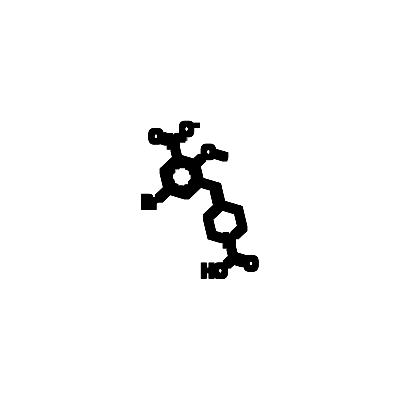 COc1c(C=C2CCN(C(=O)O)CC2)cc(Br)cc1[N+](=O)[O-]